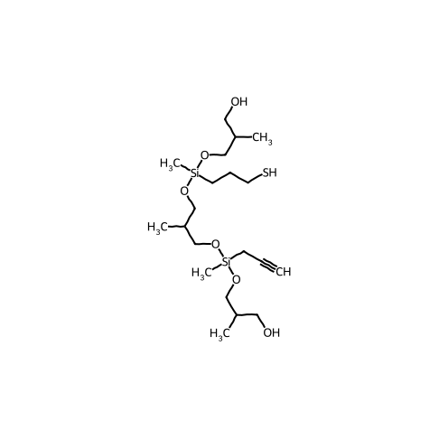 C#CC[Si](C)(OCC(C)CO)OCC(C)CO[Si](C)(CCCS)OCC(C)CO